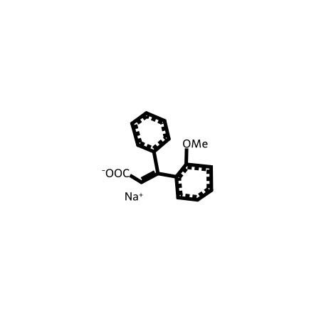 COc1ccccc1C(=CC(=O)[O-])c1ccccc1.[Na+]